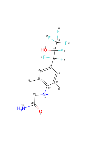 Cc1cc(C(F)(F)C(O)(F)C(F)(F)F)cc(C)c1NCC(N)=O